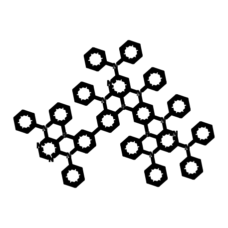 c1ccc(N(c2ccccc2)c2cc3c4c(n2)N(c2ccccc2)c2cc(-c5ccc6c(c5)B5c7ccccc7N(c7ccccc7)c7ncnc(c75)N6c5ccccc5)ccc2B4c2cc4c(cc2N3c2ccccc2)N(c2ccccc2)c2nc(N(c3ccccc3)c3ccccc3)cc3c2B4c2ccccc2N3c2ccccc2)cc1